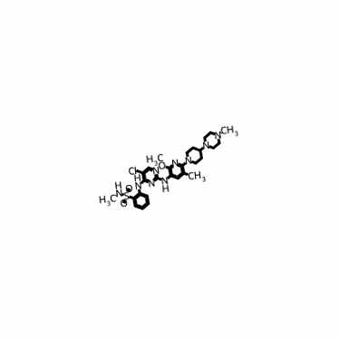 CNS(=O)(=O)c1ccccc1Nc1nc(Nc2cc(C)c(N3CCC(N4CCN(C)CC4)CC3)nc2OC)ncc1Cl